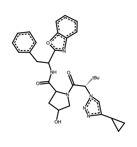 CC(C)(C)[C@@H](C(=O)N1CC(O)CC1C(=O)NC(Cc1ccccc1)c1nc2ccccc2o1)n1cc(C2CC2)nn1